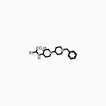 CCC(NC1CCN(C2CCN(Cc3ccccc3)CC2)CC1)C(=O)O